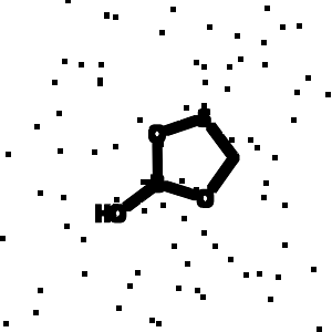 OB1OCSO1